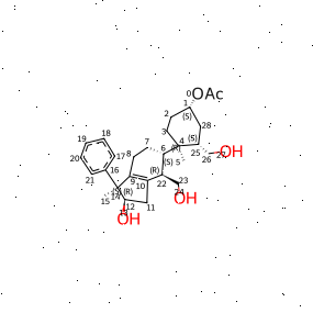 CC(=O)O[C@H]1CC[C@](C)([C@H]2CCC3=C(C[C@@H](O)[C@@]3(C)c3ccccc3)[C@@H]2CO)[C@@H](CO)C1